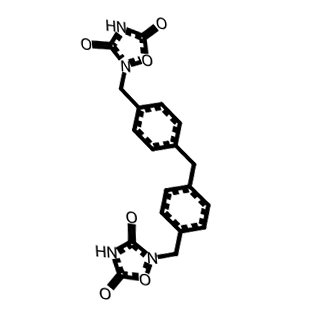 O=c1[nH]c(=O)n(Cc2ccc(Cc3ccc(Cn4oc(=O)[nH]c4=O)cc3)cc2)o1